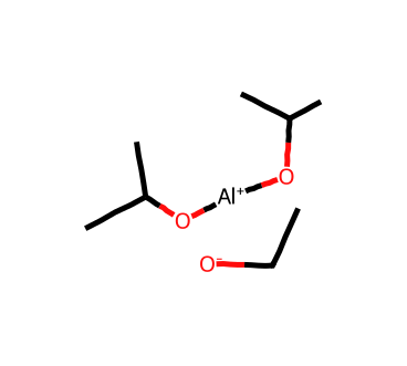 CC(C)[O][Al+][O]C(C)C.CC[O-]